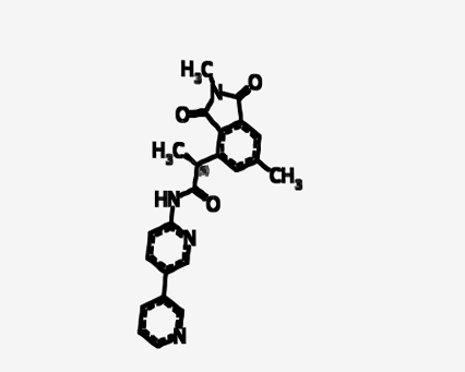 Cc1cc2c(c([C@H](C)C(=O)Nc3ccc(-c4cccnc4)cn3)c1)C(=O)N(C)C2=O